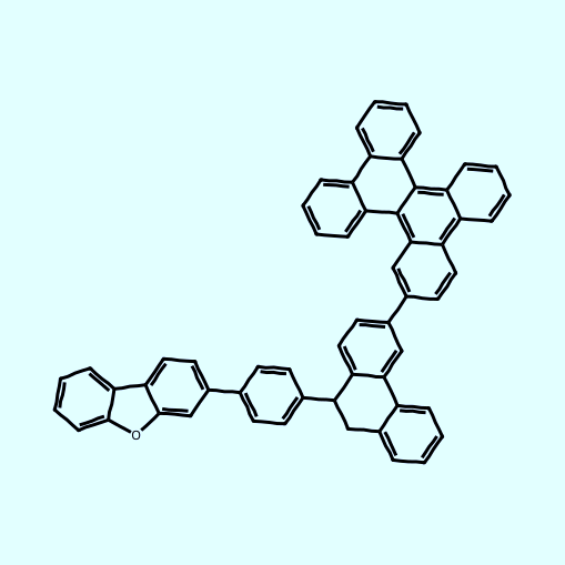 c1ccc2c(c1)CC(c1ccc(-c3ccc4c(c3)oc3ccccc34)cc1)c1ccc(-c3ccc4c5ccccc5c5c6ccccc6c6ccccc6c5c4c3)cc1-2